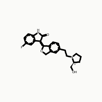 O=C1Nc2ccc(F)cc2C1=C1OCc2cc(CCN3CCC[C@H]3CO)ccc21